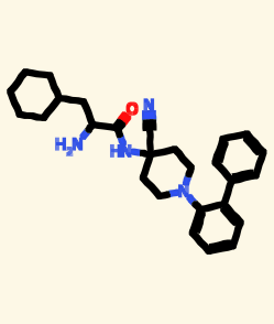 N#CC1(NC(=O)C(N)CC2CCCCC2)CCN(c2ccccc2-c2ccccc2)CC1